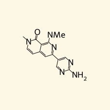 CNc1nc(-c2cnc(N)nc2)cc2ccn(C)c(=O)c12